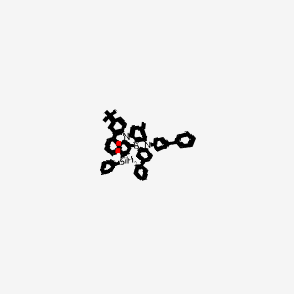 Cc1cc2c3c(c1)N(c1ccc(C(C)(C)C)cc1-c1ccccc1)c1ccc([SiH2]c4ccccc4)cc1B3c1cc(-c3ccccc3)ccc1N2c1ccc(-c2ccccc2)cc1